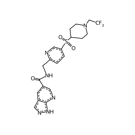 O=C(NCc1ccc(S(=O)(=O)C2CCN(CC(F)(F)F)CC2)cn1)c1cnc2[nH]ncc2c1